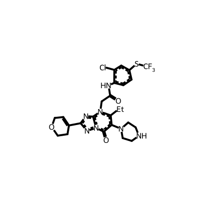 CCc1c(N2CCNCC2)c(=O)n2nc(C3=CCOCC3)nc2n1CC(=O)Nc1ccc(SC(F)(F)F)cc1Cl